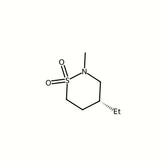 CC[C@@H]1CCS(=O)(=O)N(C)C1